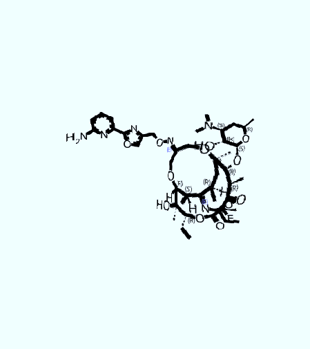 CCC(=O)/N=C1\[C@H](C)C[C@@]2(C)OC/C(=N/OCc3coc(-c4cccc(N)n4)n3)CO[C@H]([C@H]1C)[C@](C)(O)[C@@H](CC)OC(=O)[C@@](C)(F)C(=O)[C@H](C)[C@H]2O[C@@H]1O[C@H](C)C[C@H](N(C)C)[C@H]1O